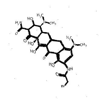 CN(C)c1cc(NC(=O)CBr)c(O)c2c1CC1CC3[C@H](N(C)C)C(O)C(C(N)=O)C(=O)[C@@]3(O)C(O)=C1C2=O